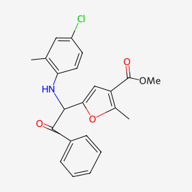 COC(=O)c1cc(C(Nc2ccc(Cl)cc2C)C(=O)c2ccccc2)oc1C